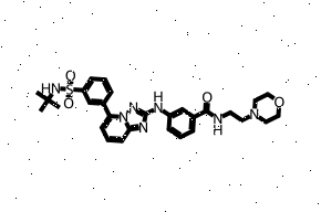 CC(C)(C)NS(=O)(=O)c1cccc(-c2cccc3nc(Nc4cccc(C(=O)NCCN5CCOCC5)c4)nn23)c1